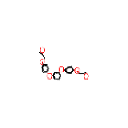 c1cc(Oc2ccc(OCC3CO3)cc2)cc(Oc2ccc(OCC3CO3)cc2)c1